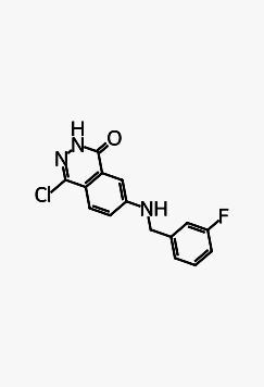 O=c1[nH]nc(Cl)c2ccc(NCc3cccc(F)c3)cc12